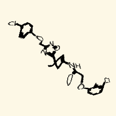 CC1(c2nc(COc3ccc(Cl)cc3)no2)C=C(NC(=O)COc2cccc(Cl)c2)C1